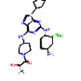 C[C@H](O)C(=O)N1CCC(Nc2nc(N[C@H]3CC[C@H](N)CC3)nc3c2ncn3C2CCCC2)CC1.Cl.Cl